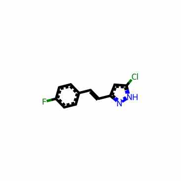 Fc1ccc(/C=C/c2cc(Cl)[nH]n2)cc1